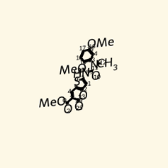 COC(=O)c1cc2sc(NC(=O)N(C)c3cc(OC)ccc3OC)cc2oc1=O